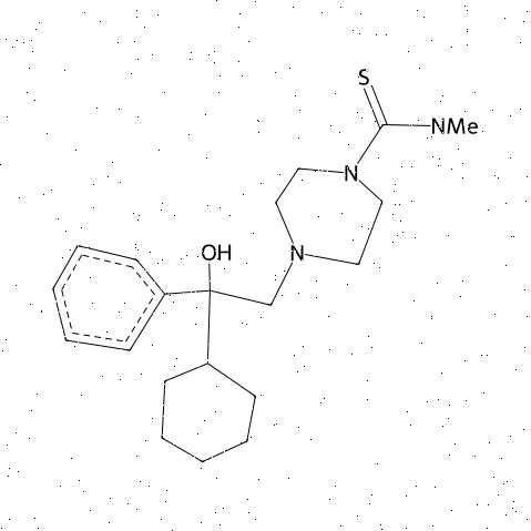 CNC(=S)N1CCN(CC(O)(c2ccccc2)C2CCCCC2)CC1